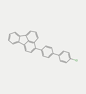 Clc1ccc(-c2ccc(-c3ccc4c5c(cccc35)-c3ccccc3-4)cc2)cc1